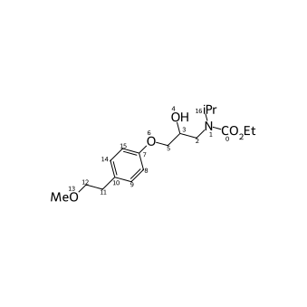 CCOC(=O)N(CC(O)COc1ccc(CCOC)cc1)C(C)C